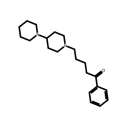 O=C(CCCCN1CCC(N2CCCCC2)CC1)c1ccccc1